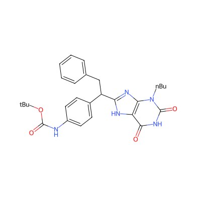 CCCCn1c(=O)[nH]c(=O)c2[nH]c(C(Cc3ccccc3)c3ccc(NC(=O)OC(C)(C)C)cc3)nc21